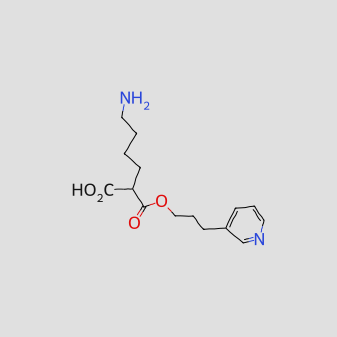 NCCCCC(C(=O)O)C(=O)OCCCc1cccnc1